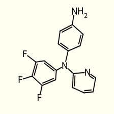 Nc1ccc(N(c2cc(F)c(F)c(F)c2)c2ccccn2)cc1